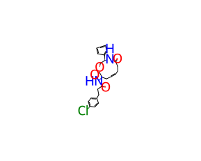 O=C1CC/C=C/C[C@@H](NC(=O)CCc2ccc(Cl)cc2)C(=O)OC[C@@H](c2ccccc2)N1